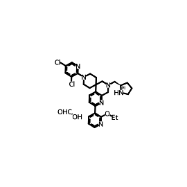 CCOc1ncccc1-c1ccc2c(n1)CN(C[C@H]1CCCN1)CC21CCN(c2ncc(Cl)cc2Cl)CC1.O=CO